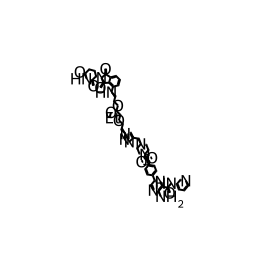 CCOC(COCCn1cc(CN2CCN(S(=O)(=O)c3ccc(-c4cnc(N)c(C(=O)Nc5cccnc5)n4)cc3)CC2)nn1)OCCNc1cccc2c1C(=O)N(C1CCC(=O)NC1=O)C2=O